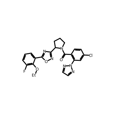 CCOc1c(F)cccc1-c1nc(C2CCCN2C(=O)c2ccc(Cl)cc2-n2nccn2)no1